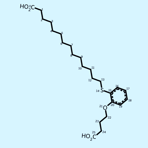 O=C(O)CCCCCCCCCCCCCSc1ccccc1OCCCC(=O)O